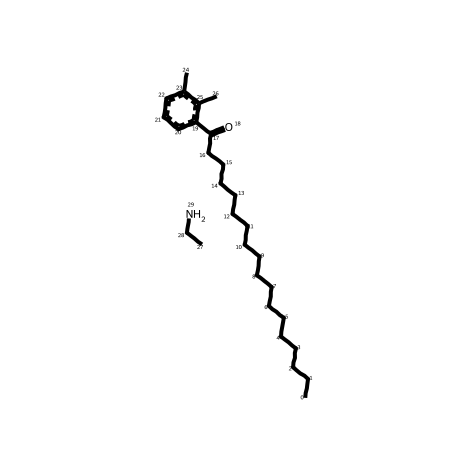 CCCCCCCCCCCCCCCCCC(=O)c1cccc(C)c1C.CCN